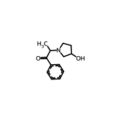 CC(C(=O)c1ccccc1)N1CCC(O)C1